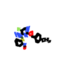 Cc1ccc(COc2ncc(F)c(NSc3ccccc3N=O)n2)cc1